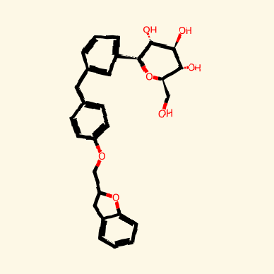 OC[C@H]1O[C@@H](c2cccc(Cc3ccc(OCC4Cc5ccccc5O4)cc3)c2)[C@H](O)[C@@H](O)[C@@H]1O